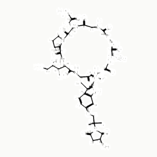 CC[C@H](C)[C@@H]1NC(=O)CNC(=O)[C@H](Cc2c([S+](C)[O-])[nH]c3cc(OCC(C)(C)N4C(=O)CC(S)C4=O)ccc23)NC(=O)[C@H]([C@@H](C)[C@@H](O)CO)NC(=O)[C@@H]2CCCN2C(=O)[C@H](CC(N)=O)NC(=O)CNC(=O)CNC1=O